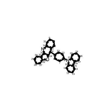 c1ccc2c(-c3ccc(-n4c5ccccc5c5ccccc54)cc3)c3oc4ccccc4c3nc2c1